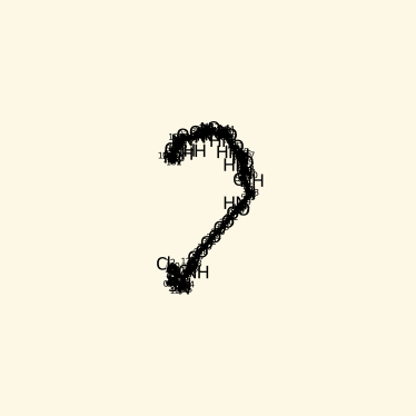 Cc1sc2c(c1C)C(c1ccc(Cl)cc1)=N[C@@H](CC(=O)Nc1ccc(OCCOCCOCCOCCOCCOCCOCCC(=O)NCCCN(C)CCCNC(=O)c3cc(NC(=O)c4nc(NC(=O)CCNC(=O)c5cc(NC(=O)c6nc(NC(=O)CCNC(=O)c7cc(NC(=O)c8nccn8C)cn7C)cn6C)cn5C)cn4C)cn3C)cc1)c1nnc(C)n1-2